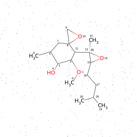 COC1C(O)C(C)CC2(CO2)C1[C@@]1(C)OC1CCC(C)C